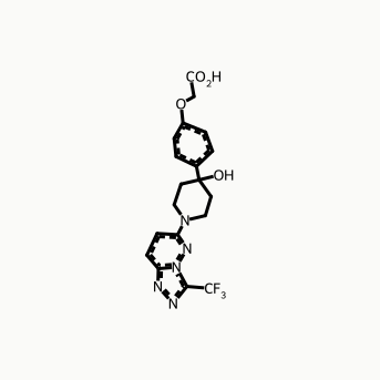 O=C(O)COc1ccc(C2(O)CCN(c3ccc4nnc(C(F)(F)F)n4n3)CC2)cc1